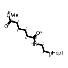 CCCCCCCCCNC(=O)CCCCC(=O)OC